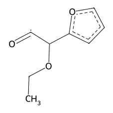 CCOC([C]=O)c1ccco1